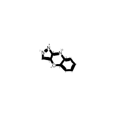 c1ccc2oc3cnnc-3nc2c1